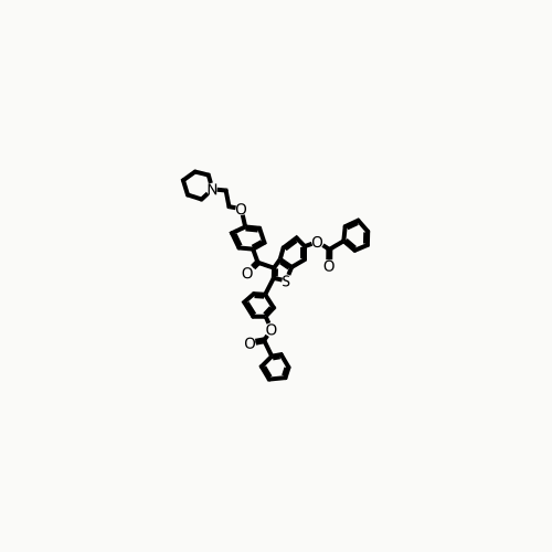 O=C(Oc1cccc(-c2sc3cc(OC(=O)c4ccccc4)ccc3c2C(=O)c2ccc(OCCN3CCCCC3)cc2)c1)c1ccccc1